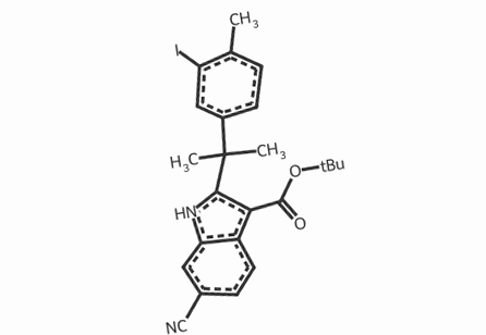 Cc1ccc(C(C)(C)c2[nH]c3cc(C#N)ccc3c2C(=O)OC(C)(C)C)cc1I